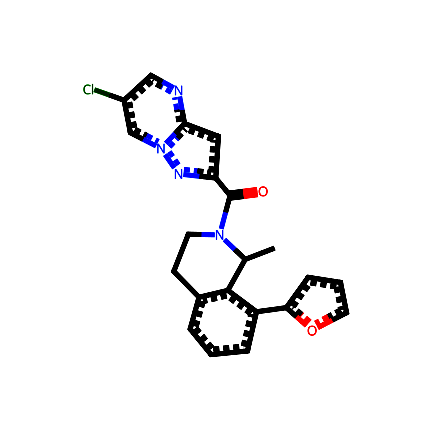 CC1c2c(cccc2-c2ccco2)CCN1C(=O)c1cc2ncc(Cl)cn2n1